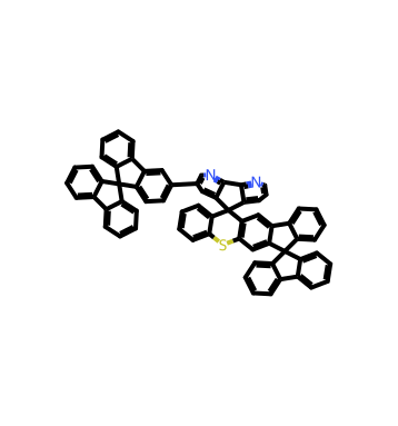 c1ccc2c(c1)Sc1cc3c(cc1C21c2cccnc2-c2ncc(-c4ccc5c(c4)-c4ccccc4C54c5ccccc5-c5ccccc54)cc21)-c1ccccc1C31c2ccccc2-c2ccccc21